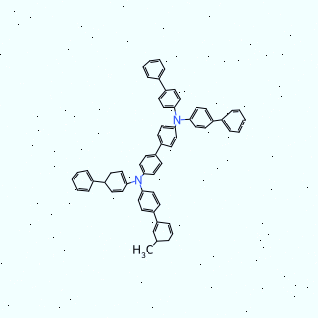 CC1C=C(c2ccc(N(C3=CCC(c4ccccc4)C=C3)c3ccc(-c4ccc(N(c5ccc(-c6ccccc6)cc5)c5ccc(-c6ccccc6)cc5)cc4)cc3)cc2)C=CC1